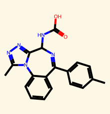 Cc1ccc(C2=NC(NC(=O)O)c3nnc(C)n3-c3ccccc32)cc1